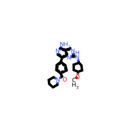 COC1CCC(Nc2ncc3c(N)ncc(-c4ccc(C(=O)N5CCCCC5)cc4)c3n2)CC1